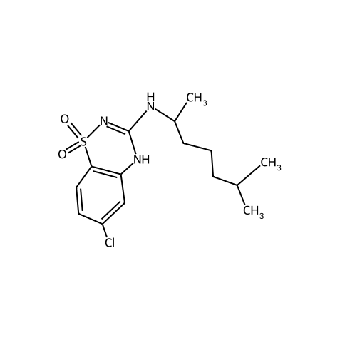 CC(C)CCCC(C)NC1=NS(=O)(=O)c2ccc(Cl)cc2N1